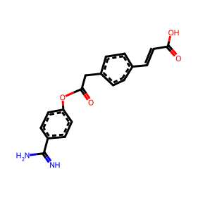 N=C(N)c1ccc(OC(=O)Cc2ccc(/C=C/C(=O)O)cc2)cc1